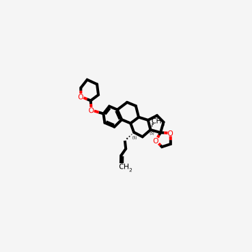 C=CCC[C@H]1C[C@@]2(C)C(CCC23OCCO3)C2CCc3cc(OC4CCCCO4)ccc3C21